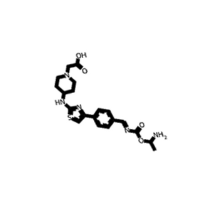 CC(N)OC(=O)N=Cc1ccc(-c2csc(NC3CCN(CC(=O)O)CC3)n2)cc1